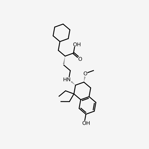 CCC1(CC)c2cc(O)ccc2C[C@@H](OC)[C@H]1NCC[C@H](CC1CCCCC1)C(=O)O